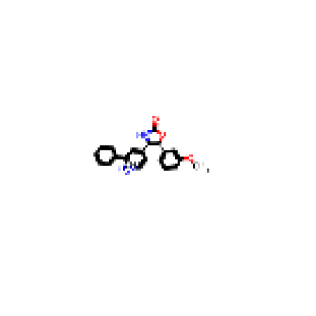 C=C(/C=C(\C=C/N)[C@H]1NC(=O)O[C@@H]1c1cccc(OC)c1)c1ccccc1